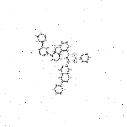 c1ccc(-c2cccc(-c3cccc4c3oc3cccc(C5N=C(c6ccc7cc(-c8ccccc8)ccc7c6)NC(c6ccccc6)N5)c34)c2)cc1